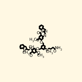 COc1cc2c(cc1OCc1cc(COc3cc(N(C)CC4Cc5ccccc5N4C)c(C=O)cc3OC)cc(N(C)CCCC(N)=O)c1)N=C[C@@H]1Cc3ccccc3N1C2=O